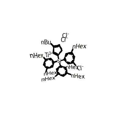 CCCCCCc1cc(CCCCCC)cc([Si](C2=[C]([Ti+3])C(CCCC)=CC2)(c2cc(CCCCCC)cc(CCCCCC)c2)c2cc(CCCCCC)cc(CCCCCC)c2)c1.[Cl-].[Cl-].[Cl-]